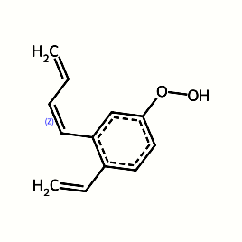 C=C/C=C\c1cc(OO)ccc1C=C